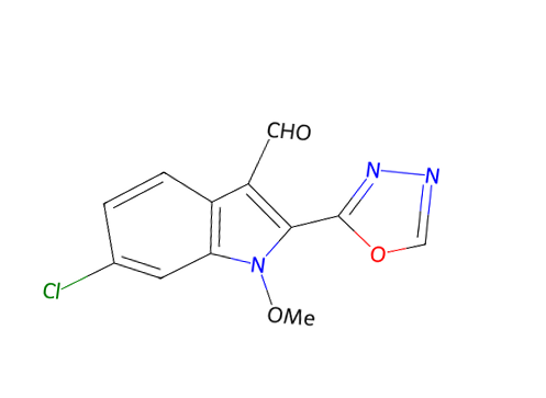 COn1c(-c2nnco2)c(C=O)c2ccc(Cl)cc21